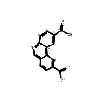 O=C(O)c1ccc2cnc3ccc(C(=O)O)cc3c2c1